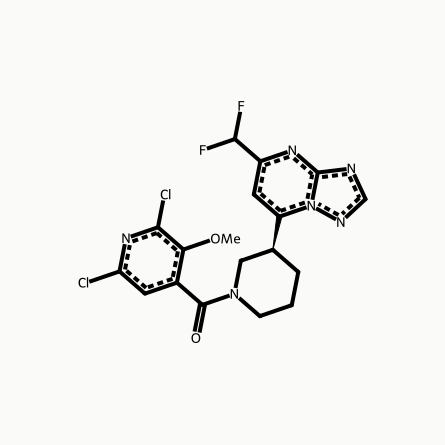 COc1c(C(=O)N2CCC[C@H](c3cc(C(F)F)nc4ncnn34)C2)cc(Cl)nc1Cl